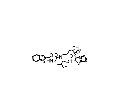 CN(CCCNC(=O)[C@H](CC1CCCC1)NC(=O)c1cc2ccccc2s1)S(=O)(=O)c1c(Cl)nc2sccn12